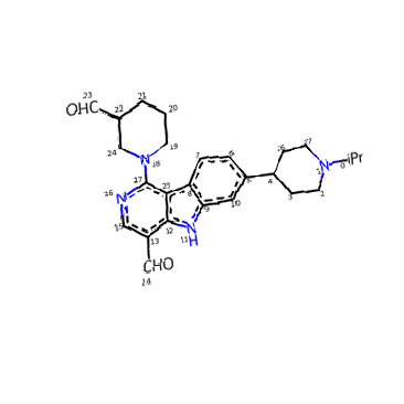 CC(C)N1CCC(c2ccc3c(c2)[nH]c2c(C=O)cnc(N4CCCC(C=O)C4)c23)CC1